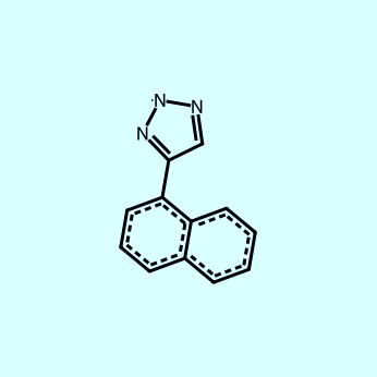 C1=N[N]N=C1c1cccc2ccccc12